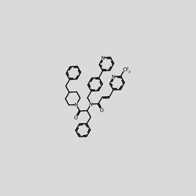 O=C(C(Cc1ccccc1)N(Cc1ccc(-c2cccnc2)cc1)C(=O)C=Cc1ccc(C(F)(F)F)nc1)N1CCC(Cc2ccccc2)CC1